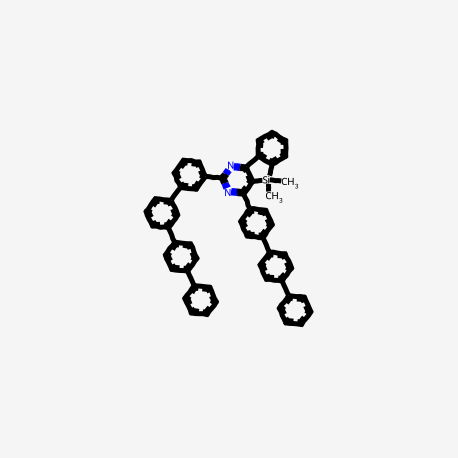 C[Si]1(C)c2ccccc2-c2nc(-c3cccc(-c4cccc(-c5ccc(-c6ccccc6)cc5)c4)c3)nc(-c3ccc(-c4ccc(-c5ccccc5)cc4)cc3)c21